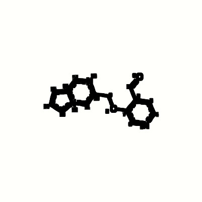 O=Cc1ccncc1OCc1cn2cccc2cn1